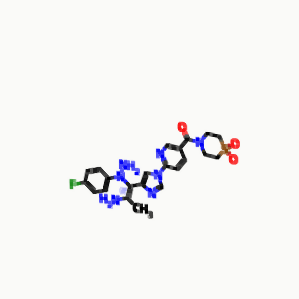 C/C(N)=C(\c1cn(-c2ccc(C(=O)N3CCS(=O)(=O)CC3)cn2)cn1)N(N)c1ccc(F)cc1